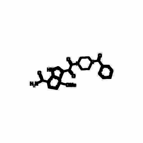 COc1ccc(C(N)=O)c2[nH]cc(C(=O)C(=O)N3CCN(C(=O)c4ccccc4)CC3)c12